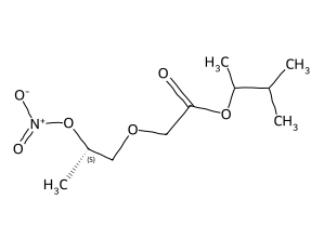 CC(C)C(C)OC(=O)COC[C@H](C)O[N+](=O)[O-]